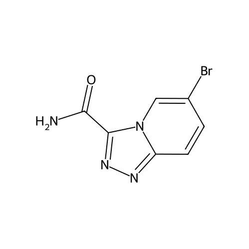 NC(=O)c1nnc2ccc(Br)cn12